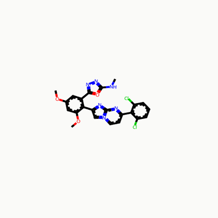 CNc1nnc(-c2cc(OC)cc(OC)c2-c2[c]n3ccc(-c4c(Cl)cccc4Cl)nc3n2)o1